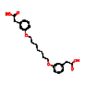 O=C(O)Cc1cccc(OCCCCCCCOc2cccc(CC(=O)O)c2)c1